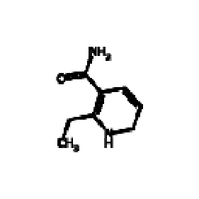 CCC1=C(C(N)=O)C=CCN1